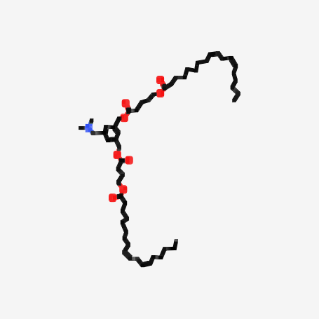 CCCCC/C=C\C/C=C\CCCCCCCC(=O)OCCCCC(=O)OCc1cc(COC(=O)CCCOC(=O)CCCCCCC/C=C\C/C=C\CCCCC)cc(CN(C)C)c1